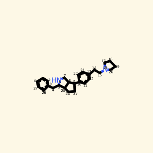 c1ccc(CC2NCC3C(c4ccc(CCN5CCCC5)cc4)CCC23)cc1